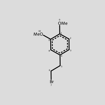 COc1ccc(CCBr)cc1OC